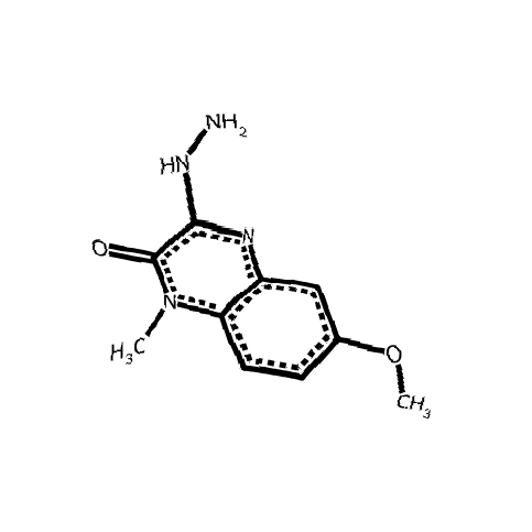 COc1ccc2c(c1)nc(NN)c(=O)n2C